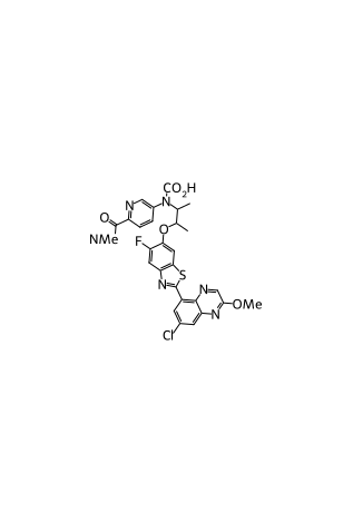 CNC(=O)c1ccc(N(C(=O)O)C(C)C(C)Oc2cc3sc(-c4cc(Cl)cc5nc(OC)cnc45)nc3cc2F)cn1